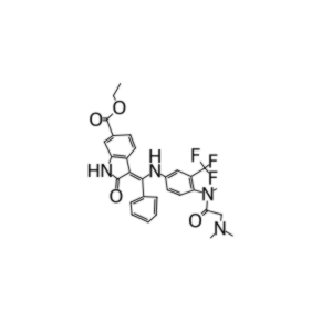 CCOC(=O)c1ccc2c(c1)NC(=O)C2=C(Nc1ccc(N(C)C(=O)CN(C)C)c(C(F)(F)F)c1)c1ccccc1